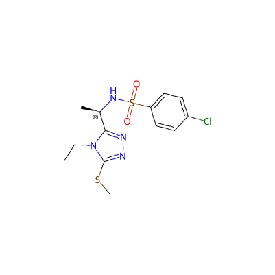 CCn1c(SC)nnc1[C@@H](C)NS(=O)(=O)c1ccc(Cl)cc1